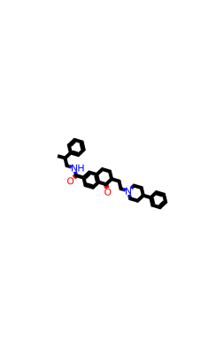 CC(CNC(=O)c1ccc2c(c1)CCC(CCN1CCC(c3ccccc3)CC1)C2=O)c1ccccc1